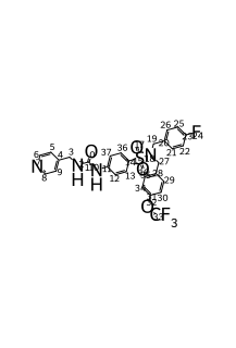 O=C(NCc1ccncc1)Nc1ccc(S(=O)(=O)N(Cc2ccc(F)cc2)Cc2ccc(OC(F)(F)F)cc2)cc1